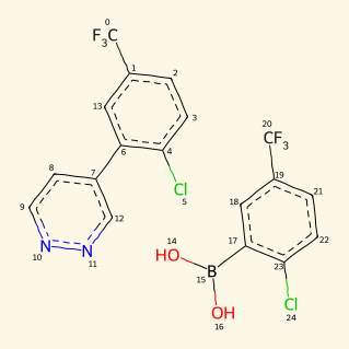 FC(F)(F)c1ccc(Cl)c(-c2ccnnc2)c1.OB(O)c1cc(C(F)(F)F)ccc1Cl